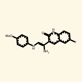 COc1ccc(N/C=C(\N)c2cc3cc(F)ccc3[nH]c2=O)cc1